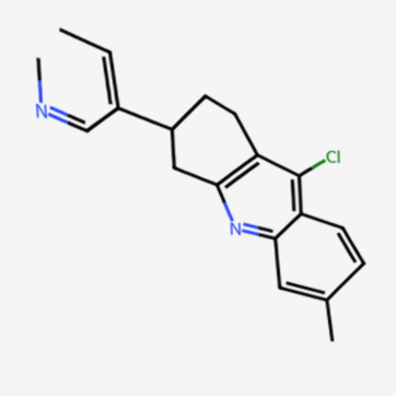 C/C=C(\C=N/C)C1CCc2c(nc3cc(C)ccc3c2Cl)C1